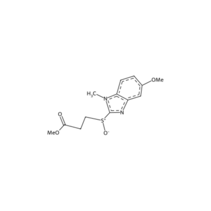 COC(=O)CC[S+]([O-])c1nc2cc(OC)ccc2n1C